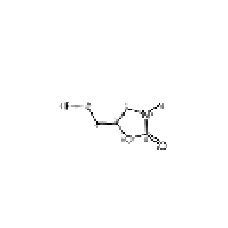 CN1CC(CCF)OC1=O